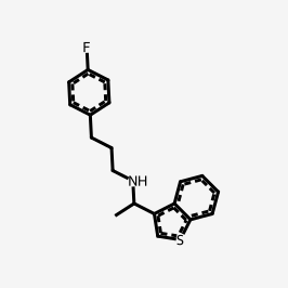 CC(NCCCc1ccc(F)cc1)c1csc2ccccc12